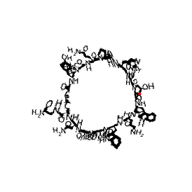 CCCC[C@H]1C(=O)N(C)[C@@H](CCCC)C(=O)N[C@@H](CCN)C(=O)N[C@H](C(=O)NCC(N)=O)CSCC(=O)N[C@@H](Cc2ccc(O)cc2)C(=O)N(C)[C@@H](C)C(=O)N[C@@H](CCC(N)=O)C(=O)N2CCC[C@H]2C(=O)N[C@@H](Cc2cnc[nH]2)C(=O)N[C@@H](CC(C)C)C(=O)N2C[C@H](O)C[C@H]2C(=O)N[C@@H](Cc2c[nH]c3ccccc23)C(=O)N[C@@H](CCCN)C(=O)N[C@@H](Cc2c[nH]c3ccccc23)C(=O)N1C